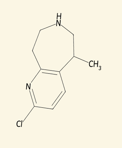 CC1CNCCc2nc(Cl)ccc21